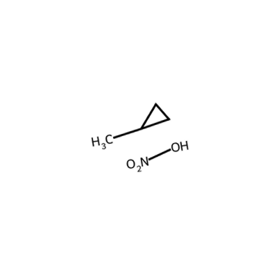 CC1CC1.O=[N+]([O-])O